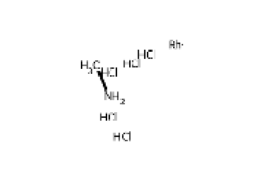 CN.Cl.Cl.Cl.Cl.Cl.[Rh]